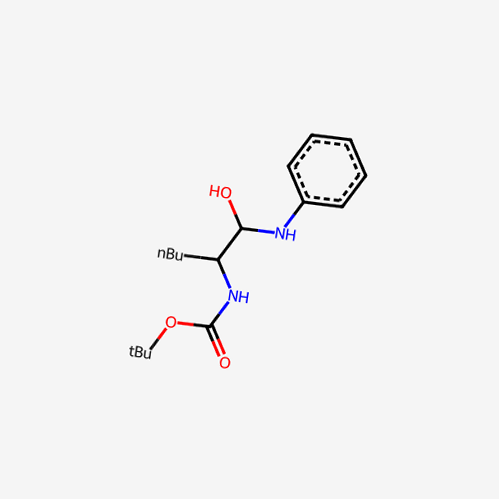 CCCCC(NC(=O)OC(C)(C)C)C(O)Nc1ccccc1